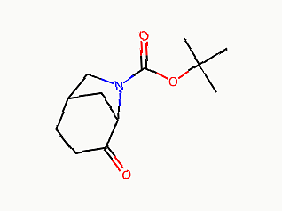 CC(C)(C)OC(=O)N1CC2CCC(=O)C1C2